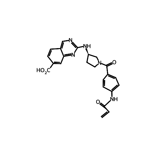 C=CC(=O)Nc1ccc(C(=O)N2CC[C@@H](Nc3ncc4ccc(C(=O)O)cc4n3)C2)cc1